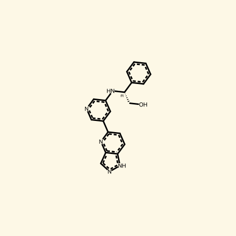 OC[C@H](Nc1cncc(-c2ccc3[nH]ncc3n2)c1)c1ccccc1